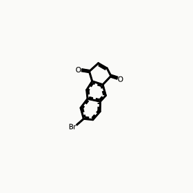 O=C1C=CC(=O)c2cc3cc(Br)ccc3cc21